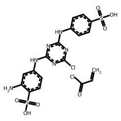 C=CC(=O)Cl.Nc1cc(Nc2nc(Cl)nc(Nc3ccc(S(=O)(=O)O)cc3)n2)ccc1S(=O)(=O)O